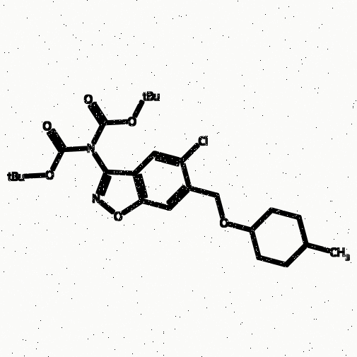 CC1CCC(OCc2cc3onc(N(C(=O)OC(C)(C)C)C(=O)OC(C)(C)C)c3cc2Cl)CC1